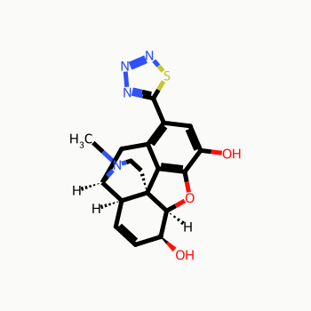 CN1CC[C@]23c4c5c(-c6nnns6)cc(O)c4O[C@H]2[C@@H](O)C=C[C@H]3[C@H]1C5